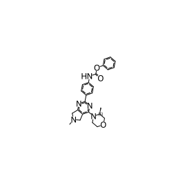 C[C@H]1COCCN1c1nc(-c2ccc(NC(=O)Oc3ccccc3)cc2)nc2c1CN(C)C2